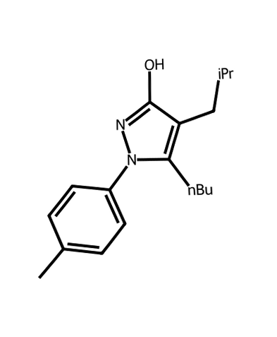 CCCCc1c(CC(C)C)c(O)nn1-c1ccc(C)cc1